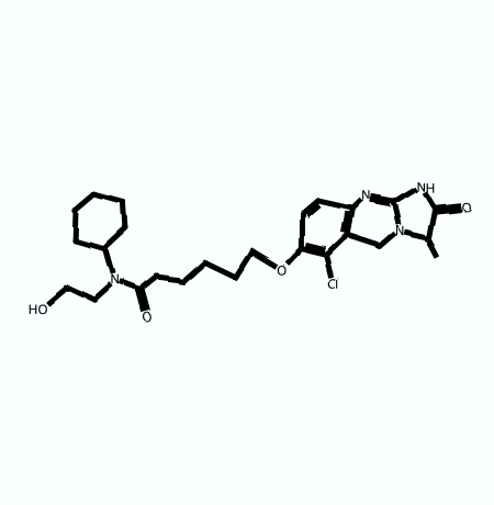 CC1C(=O)NC2=Nc3ccc(OCCCCCC(=O)N(CCO)C4CCCCC4)c(Cl)c3CN21